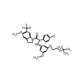 COc1cc(NC(C(=O)N2CCc3cc(OC)c(C(F)(F)F)cc32)c2ccc(Cl)cc2)cc(OCCOC(C)(C)C)c1